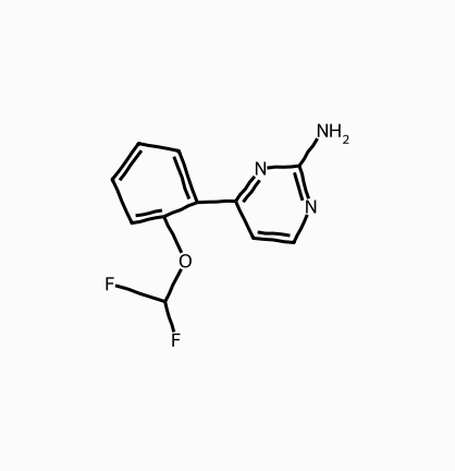 Nc1nccc(-c2ccccc2OC(F)F)n1